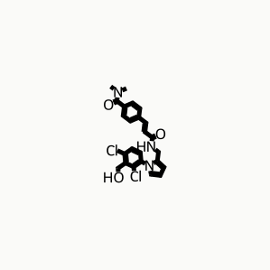 CN(C)C(=O)c1ccc(C=CC(=O)NCc2cccn2-c2ccc(Cl)c(CO)c2Cl)cc1